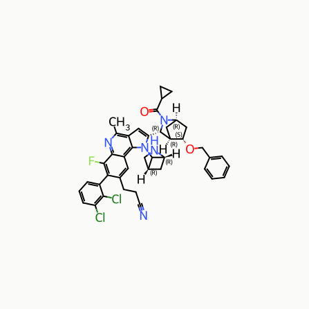 Cc1nc2c(F)c(-c3cccc(Cl)c3Cl)c(CCC#N)cc2c2c1cc([C@H]1[C@H]3C[C@H](C[C@@H]3OCc3ccccc3)N1C(=O)C1CC1)n2C1[C@H]2CN[C@@H]1C2